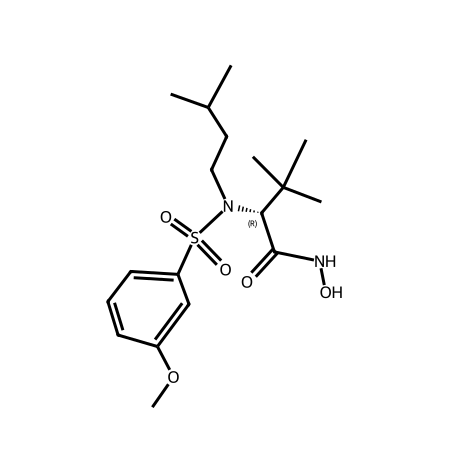 COc1cccc(S(=O)(=O)N(CCC(C)C)[C@@H](C(=O)NO)C(C)(C)C)c1